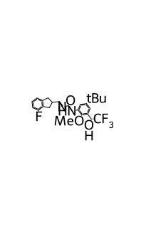 COc1c(NC(=O)/N=C/C2Cc3cccc(F)c3C2)cc(C(C)(C)C)cc1[C@@H](O)C(F)(F)F